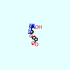 COC(=O)C1CCC2CC(Oc3ccc(-c4nnn(C)c4CO)nc3C)CC21